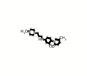 Cc1ccc(=O)n(-c2ccc(NCCCN3CCN(C)CC3)cc2Cl)c1